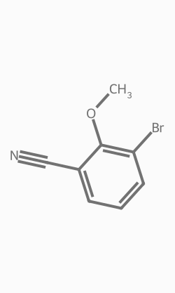 COc1c(Br)cccc1C#N